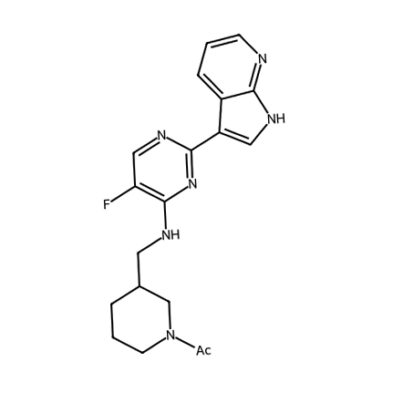 CC(=O)N1CCCC(CNc2nc(-c3c[nH]c4ncccc34)ncc2F)C1